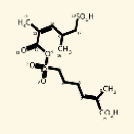 CC(=CCCCS(=O)(=O)OC(=O)C(C)=CC(C)CS(=O)(=O)O)C(=O)O